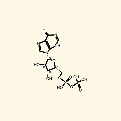 O=c1nc[nH]c2c1ncn2[C@@H]1O[C@H](COP(=O)(O)OP(=O)(O)O)[C@H](O)[C@H]1O